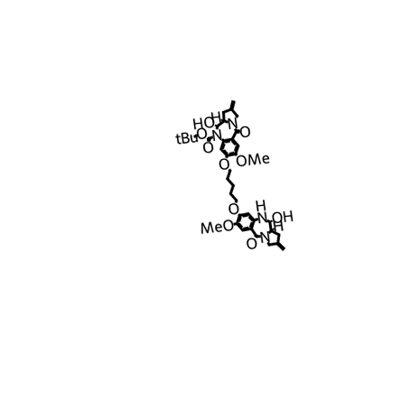 C=C1C[C@H]2[C@H](O)Nc3cc(OCCCCCOc4cc5c(cc4OC)C(=O)N4CC(=C)C[C@H]4[C@H](O)N5C(=O)OC(C)(C)C)c(OC)cc3C(=O)N2C1